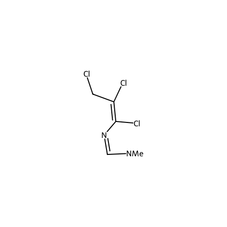 CN/C=N\C(Cl)=C(\Cl)CCl